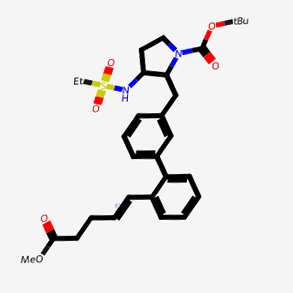 CCS(=O)(=O)NC1CCN(C(=O)OC(C)(C)C)C1Cc1cccc(-c2ccccc2/C=C/CCC(=O)OC)c1